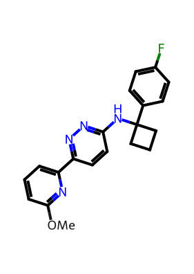 COc1cccc(-c2ccc(NC3(c4ccc(F)cc4)CCC3)nn2)n1